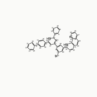 Brc1cc(C2=NC(c3ccccc3)NC(c3ccc(-c4ccccc4)cc3)=C2)cc(C2C=Cc3ccc4cccnc4c3N2)c1